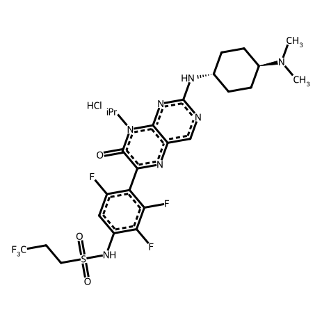 CC(C)n1c(=O)c(-c2c(F)cc(NS(=O)(=O)CCC(F)(F)F)c(F)c2F)nc2cnc(N[C@H]3CC[C@H](N(C)C)CC3)nc21.Cl